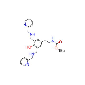 CC(C)(C)OC(=O)NCCc1cc(CNCc2ccccn2)c(O)c(CNCc2ccccn2)c1